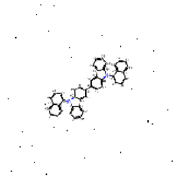 c1ccc2c(-n3c4ccccc4c4cc(-c5ccc6c(c5)c5ccccc5n6-c5cccc6ccccc56)ccc43)cccc2c1